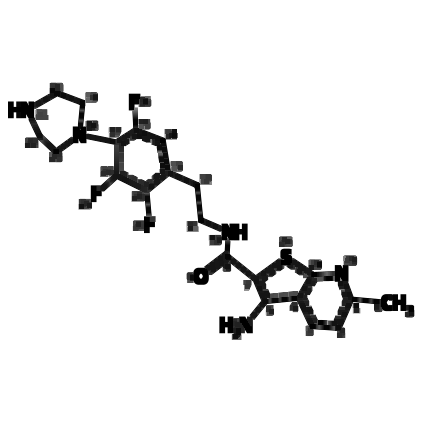 Cc1ccc2c(N)c(C(=O)NCCc3cc(F)c(N4CCNCC4)c(F)c3F)sc2n1